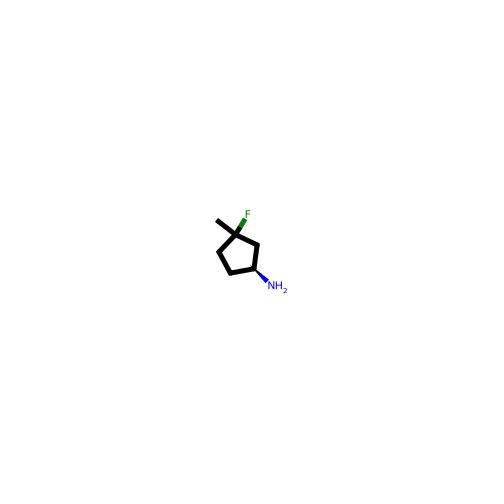 CC1(F)CC[C@H](N)C1